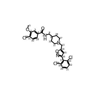 COc1cc(C(=O)NCC2CCN(Cc3cc(-c4c(Cl)cccc4Cl)no3)CC2)ccc1Cl